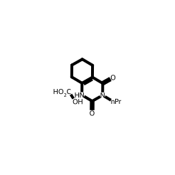 CCCn1c(=O)[nH]c2c(c1=O)CCCC2.O=C(O)O